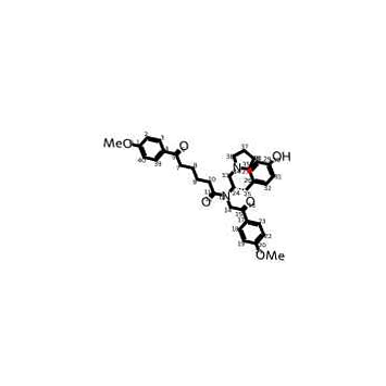 COc1ccc(C(=O)CCCCC(=O)N(CC(=O)c2ccc(OC)cc2)[C@@H](Cc2ccc(O)cc2)CN2CCCC2)cc1